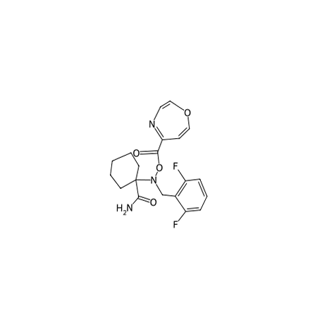 NC(=O)C1(N(Cc2c(F)cccc2F)OC(=O)C2=NC=COC=C2)CCCCC1